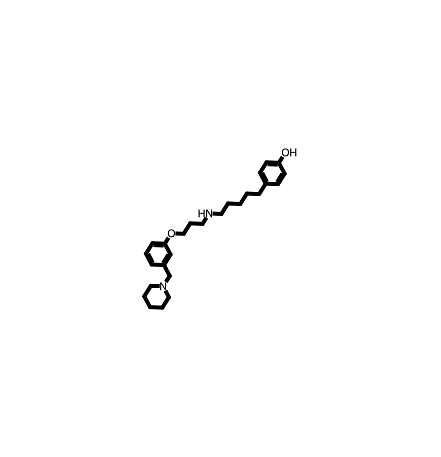 Oc1ccc(CCCCCNCCCOc2cccc(CN3CCCCC3)c2)cc1